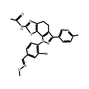 CO/N=C/c1ccc(-n2nc(-c3ccc(C)nc3)c3c2-c2sc(NC(C)=O)nc2CC3)c(Br)c1